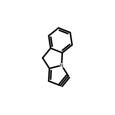 c1cc2n(c#1)-c1ccccc1C2